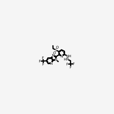 CCS(=O)(=O)c1ccc(NNCC(F)(F)F)nc1-c1nc2cc(C(F)(F)F)cnc2n1C